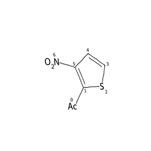 CC(=O)c1sccc1[N+](=O)[O-]